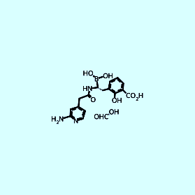 Nc1cc(CC(=O)N[C@@H](Cc2cccc(C(=O)O)c2O)B(O)O)ccn1.O=CO